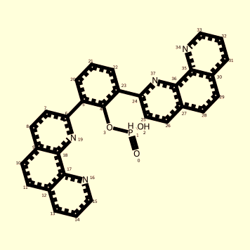 O=[PH](O)Oc1c(-c2ccc3ccc4cccnc4c3n2)cccc1-c1ccc2ccc3cccnc3c2n1